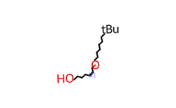 CC(C)(C)CCCCCCCCOC/C=C\CCCCO